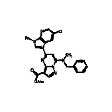 COC(=O)c1cnn2c(N(C)Cc3ccccc3)cc(-c3cn(C(C)C)c4ncc(Cl)cc34)nc12